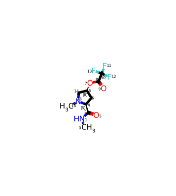 CNC(=O)[C@@H]1C[C@@H](OC(=O)C(F)(F)F)CN1C